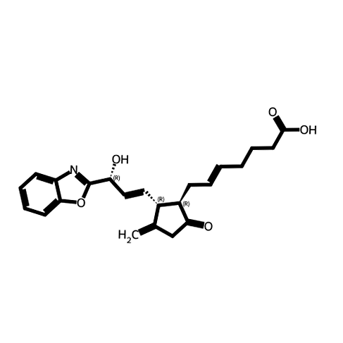 C=C1CC(=O)[C@H](CC=CCCCC(=O)O)[C@H]1C=C[C@@H](O)c1nc2ccccc2o1